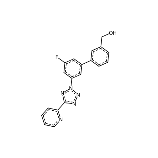 OCc1cccc(-c2cc(F)cc(-n3nnc(-c4ccccn4)n3)c2)c1